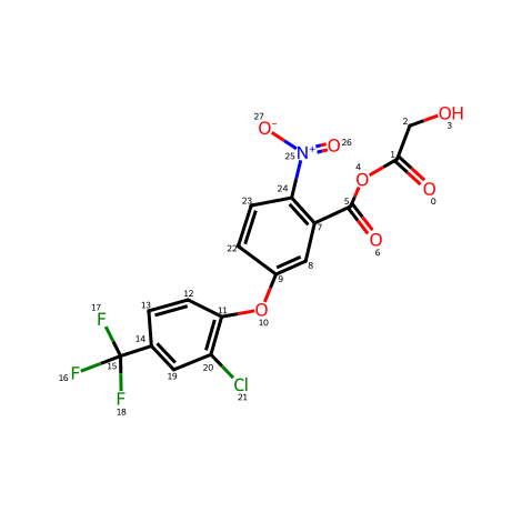 O=C(CO)OC(=O)c1cc(Oc2ccc(C(F)(F)F)cc2Cl)ccc1[N+](=O)[O-]